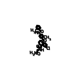 Cc1ccccc1C(=O)Nc1ccc(C(=O)N2CCCC(CC(=O)NCC(N)=O)c3cc(Cl)ccc32)c(C)c1